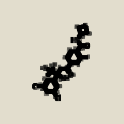 Cc1cc(C(=O)CC(S)(c2cc(Cl)cc(Cl)c2)C(F)(F)I)ccc1C(=O)NC1CSC1